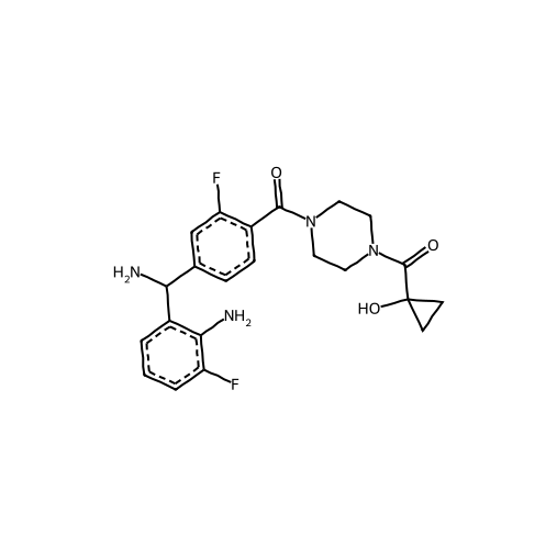 Nc1c(F)cccc1C(N)c1ccc(C(=O)N2CCN(C(=O)C3(O)CC3)CC2)c(F)c1